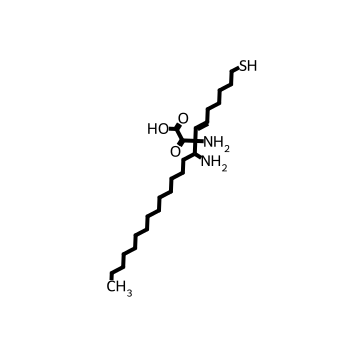 CCCCCCCCCCCCCCC(N)C(N)(C=CCCCCCS)C(=O)C(=O)O